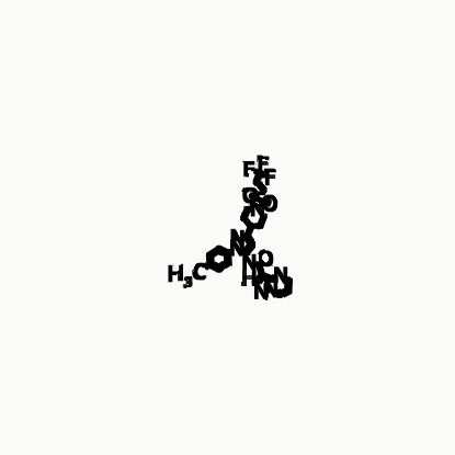 Cc1ccc(-n2nc(C3CCN(S(=O)(=O)CCC(F)(F)F)CC3)cc2NC(=O)c2cnn3cccnc23)cc1